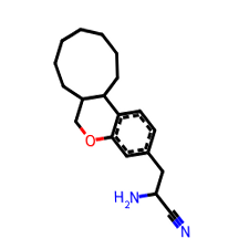 N#CC(N)Cc1ccc2c(c1)OCC1CCCCCCCC21